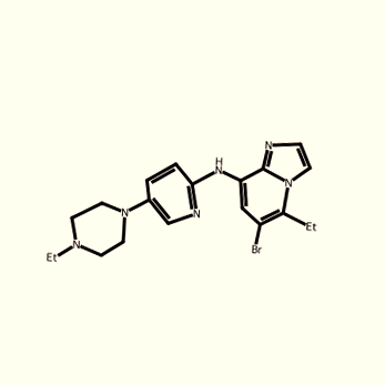 CCc1c(Br)cc(Nc2ccc(N3CCN(CC)CC3)cn2)c2nccn12